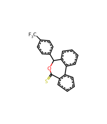 FC(F)(F)c1ccc(C2OC(=S)c3ccccc3-c3ccccc32)cc1